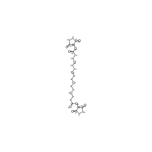 O=C(CCOCCOCCOCCOCCC(=O)ON1C(=O)CCC1=O)ON1C(=O)CCC1=O